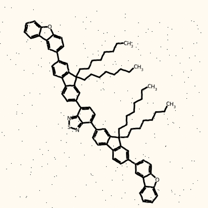 CCCCCCCCC1(CCCCCCCC)c2cc(-c3ccc4oc5ccccc5c4c3)ccc2-c2ccc(-c3ccc(-c4ccc5c(c4)C(CCCCCCCC)(CCCCCCCC)c4cc(-c6ccc7oc8ccccc8c7c6)ccc4-5)c4nsnc34)cc21